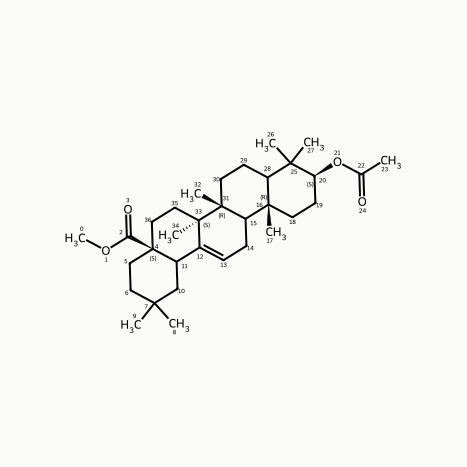 COC(=O)[C@]12CCC(C)(C)CC1C1=CCC3[C@@]4(C)CC[C@H](OC(C)=O)C(C)(C)C4CC[C@@]3(C)[C@]1(C)CC2